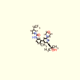 Cc1ccc(NC(=O)N2CC[C@@H](CC(F)(F)F)C2)cc1-c1cc(C#CC(C)(C)O)nc(N2CCOCC2)c1